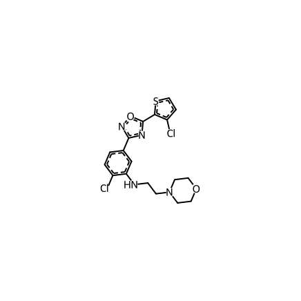 Clc1ccc(-c2noc(-c3sccc3Cl)n2)cc1NCCN1CCOCC1